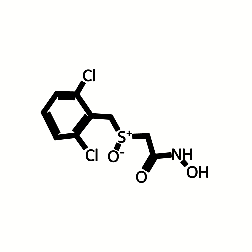 O=C(C[S+]([O-])Cc1c(Cl)cccc1Cl)NO